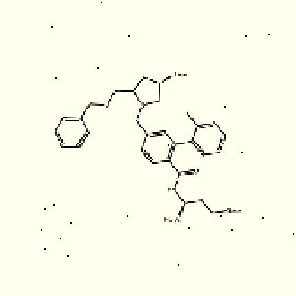 CO[C@@H]1CC(COCc2ccccc2)N(Cc2ccc(C(=O)N[C@@H](CCSC)C(=O)O)c(-c3ccccc3C)c2)C1